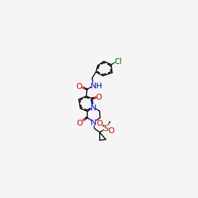 CS(=O)(=O)C1(CN2CCn3c(ccc(C(=O)NCc4ccc(Cl)cc4)c3=O)C2=O)CC1